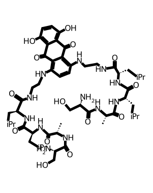 CC(C)C[C@H](NC(=O)[C@H](C)NC(=O)[C@@H](N)CO)C(=O)N[C@@H](CC(C)C)C(=O)NCCNc1ccc(NCCNC(=O)[C@H](CC(C)C)NC(=O)[C@H](CC(C)C)NC(=O)[C@H](C)NC(=O)[C@@H](N)CO)c2c1C(=O)c1c(O)ccc(O)c1C2=O